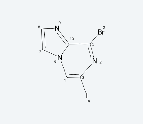 Brc1nc(I)cn2ccnc12